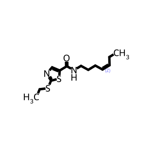 CC/C=C\CCCNC(=O)c1cnc(SCC)s1